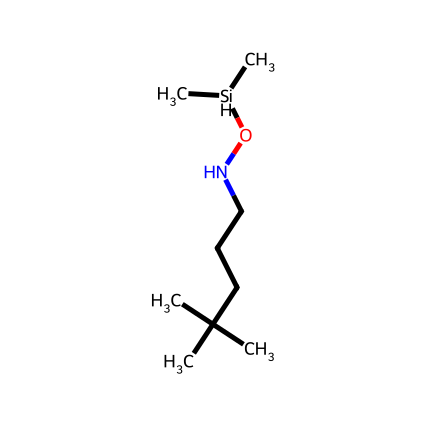 C[SiH](C)ONCCCC(C)(C)C